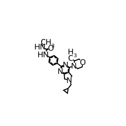 CNC(=O)Nc1ccc(-c2nc3c(c(N4CCOCC4C)n2)CN(CC2CC2)C3)cc1